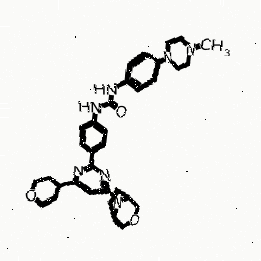 CN1CCN(c2ccc(NC(=O)Nc3ccc(-c4nc(C5CCOCC5)cc(N5C6CCC5COC6)n4)cc3)cc2)CC1